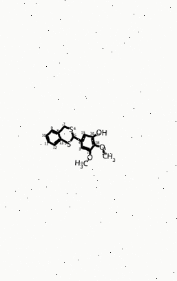 COc1cc(C2SCc3ccccc3S2)cc(O)c1OC